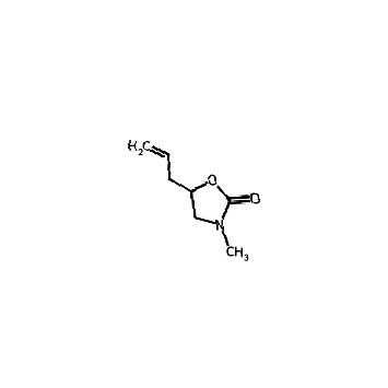 C=CCC1CN(C)C(=O)O1